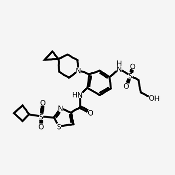 O=C(Nc1ccc(NS(=O)(=O)CCO)cc1N1CCC2(CC1)CC2)c1csc(S(=O)(=O)C2CCC2)n1